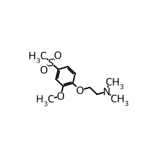 COc1cc(S(C)(=O)=O)ccc1OCCN(C)C